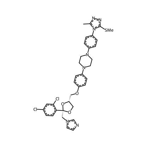 CSc1nnc(C)n1-c1ccc(N2CCN(c3ccc(OC[C@@H]4CO[C@@](Cn5ccnc5)(c5ccc(Cl)cc5Cl)O4)cc3)CC2)cc1